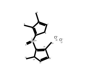 [CH2]=[Zr+2]([C]1=C(C)C(C)=CC1)[C]1=C(C)C=CC1C.[Cl-].[Cl-]